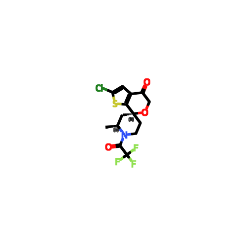 C[C@H]1C[C@@]2(CCN1C(=O)C(F)(F)F)OCC(=O)c1cc(Cl)sc12